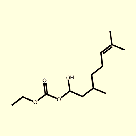 CCOC(=O)OC(O)CC(C)CCC=C(C)C